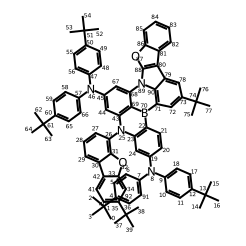 CC(C)(C)c1ccc(N(c2ccc(C(C)(C)C)cc2)c2ccc3c(c2)N(c2cccc4c2oc2cc(C(C)(C)C)ccc24)c2cc(N(c4ccc(C(C)(C)C)cc4)c4ccc(C(C)(C)C)cc4)cc4c2B3c2cc(C(C)(C)C)cc3c5c6ccccc6oc5n-4c23)cc1